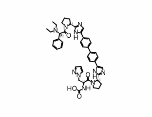 CCN(CC)[C@@H](C(=O)N1CCC[C@H]1c1ncc(-c2ccc(-c3ccc(-c4cnc([C@@H]5CCCN5C(=O)[C@H](Cn5cccn5)NC(=O)O)[nH]4)cc3)cc2)[nH]1)c1ccccc1